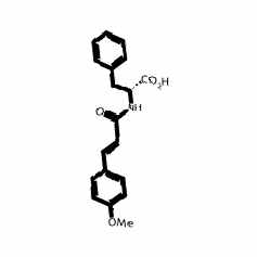 COc1ccc(C=CC(=O)N[C@H](Cc2ccccc2)C(=O)O)cc1